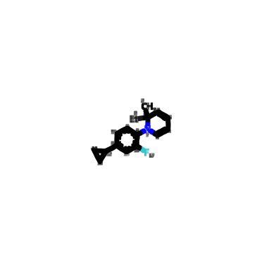 CCC1(C)C=CC=CN1c1ccc(C2CC2)cc1F